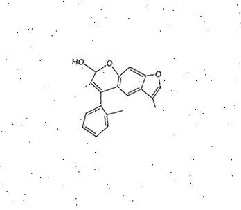 Cc1ccccc1C1=CC(O)Oc2cc3occ(C)c3cc21